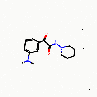 CN(C)c1cccc(C(=O)C(=O)NN2CCCCC2)c1